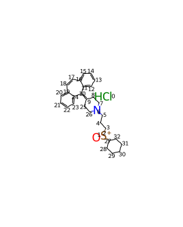 Cl.[O-][S+](CCCN1CCC(=C2c3ccccc3C=Cc3ccccc32)CC1)C1CCCCC1